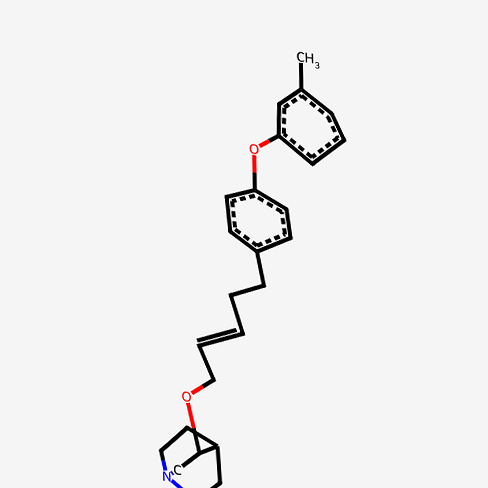 Cc1cccc(Oc2ccc(CCC=CCOC3CN4CCC3CC4)cc2)c1